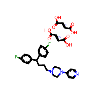 Fc1ccc(C(CCCN2CCN(c3ccncc3)CC2)c2ccc(F)cc2)cc1.O=C(O)/C=C/C(=O)O.O=C(O)/C=C/C(=O)O